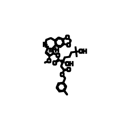 COC1=CC23CCCN2CCc2cc4c(cc2[C@@H]3C1OC(=O)[C@@](O)(CCCC(C)(C)O)CC(=O)OCc1cccc(C)c1)OCO4